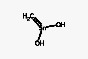 [CH2]=[Sn]([OH])[OH]